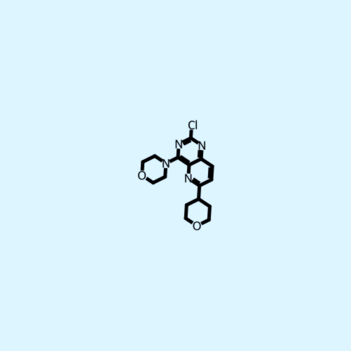 Clc1nc(N2CCOCC2)c2nc(C3CCOCC3)ccc2n1